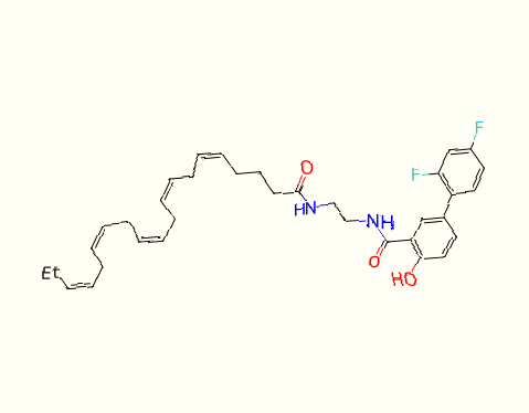 CC/C=C\C/C=C\C/C=C\C/C=C\C/C=C\CCCC(=O)NCCNC(=O)c1cc(-c2ccc(F)cc2F)ccc1O